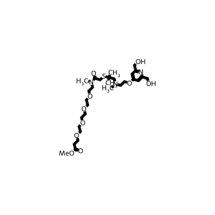 COC(=O)CCOCCOCCOCCOCCN(C)C(=O)CSC(C)(C)CN(C)CCOc1cc(CO)nc(CO)c1